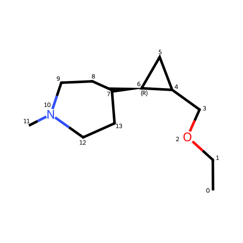 CCOCC1C[C@@H]1C1CCN(C)CC1